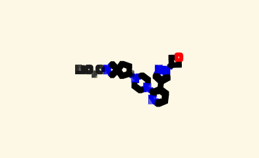 CCOC(=O)N1CC2(CC[C@@H](N3CCN(c4ncccc4-c4cnn(C5COC5)c4)CC3)C2)C1